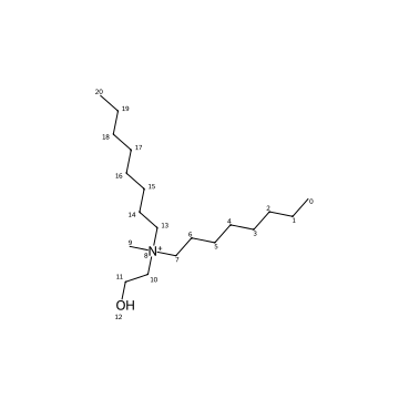 CCCCCCCC[N+](C)(CCO)CCCCCCCC